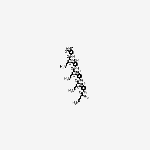 COc1ccc(NC(=O)[C@H](CCCCN)NC(=O)c2cc(NC(=O)[C@H](CCCCN)NC(=O)c3cc(NC(=O)[C@H](CCCCN)NC(=O)c4cc(NC(=O)[C@@H](N)CCCCN)ccc4OC)ccc3OC)ccc2O)cc1C(N)=O